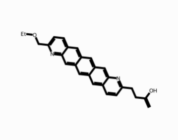 C=C(O)CCc1ccc2cc3cc4cc5nc(COCC)ccc5cc4cc3cc2n1